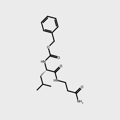 CC(C)C[C@H](NC(=O)OCc1ccccc1)C(=O)NCCC(N)=O